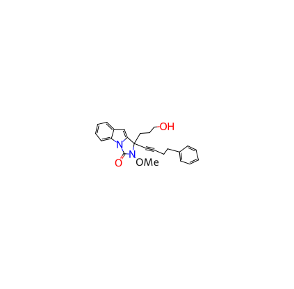 CON1C(=O)n2c(cc3ccccc32)C1(C#CCCc1ccccc1)CCCO